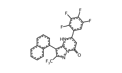 O=c1cc(-c2cc(F)c(F)c(F)c2F)[nH]c2c(-c3cccc4ccccc34)c(C(F)(F)F)nn12